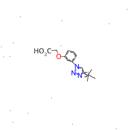 C[Si](C)(C)c1cn(-c2cccc(OCC(=O)O)c2)nn1